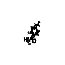 CCCN1CCN(C(=O)NC)CC1